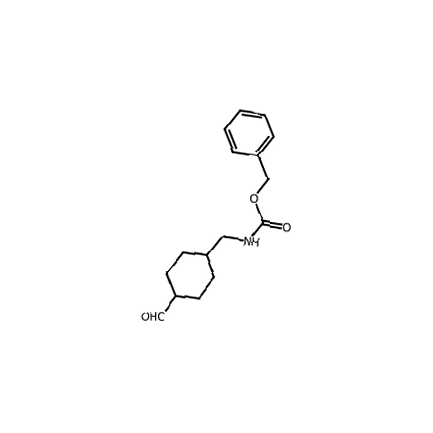 O=[C]C1CCC(CNC(=O)OCc2ccccc2)CC1